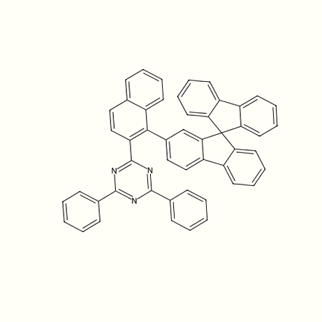 c1ccc(-c2nc(-c3ccccc3)nc(-c3ccc4ccccc4c3-c3ccc4c(c3)C3(c5ccccc5-c5ccccc53)c3ccccc3-4)n2)cc1